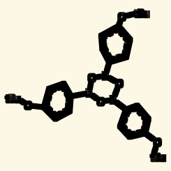 CC(C)(C)Oc1ccc(B2OB(c3ccc(OC(C)(C)C)cc3)OB(c3ccc(OC(C)(C)C)cc3)O2)cc1